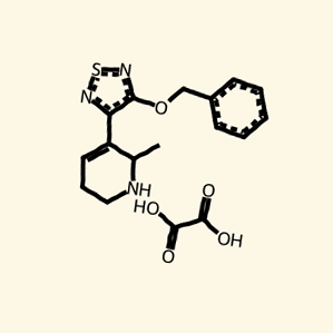 CC1NCCC=C1c1nsnc1OCc1ccccc1.O=C(O)C(=O)O